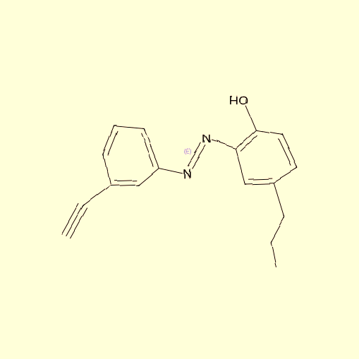 C#Cc1cccc(/N=N/c2cc(CCC)ccc2O)c1